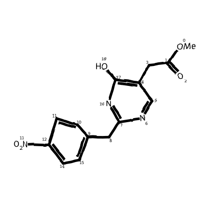 COC(=O)Cc1cnc(Cc2ccc([N+](=O)[O-])cc2)nc1O